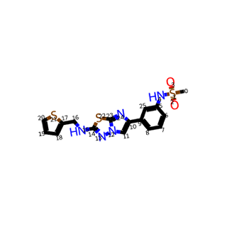 CS(=O)(=O)Nc1cccc(-c2cn3nc(NCc4cccs4)sc3n2)c1